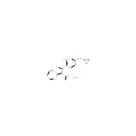 CCOC(=O)c1c(-c2ccc(NC3CC3)nc2F)nn2cccnc12